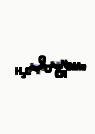 C/C=C/C(=O)OC/C(C#N)=N/OC